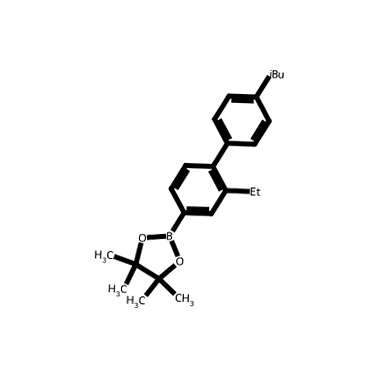 CCc1cc(B2OC(C)(C)C(C)(C)O2)ccc1-c1ccc(C(C)CC)cc1